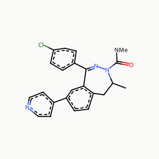 CNC(=O)N1N=C(c2ccc(Cl)cc2)c2cc(-c3ccncc3)ccc2CC1C